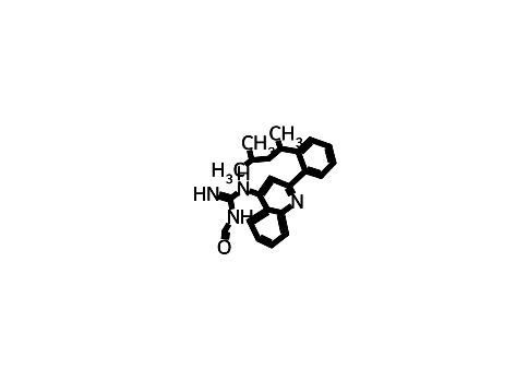 CC(C)CC(C)c1ccccc1-c1cc(NC(=N)NC=O)c2ccccc2n1